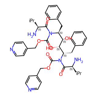 CC(C)[C@H](N)C(=O)N(C(=O)OCc1ccncc1)[C@@H](Cc1ccccc1)[C@H](O)[C@@H](O)[C@H](Cc1ccccc1)N(C(=O)OCc1ccncc1)C(=O)[C@@H](N)C(C)C